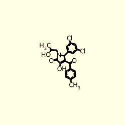 Cc1ccc(C(=O)C2=C(O)C(=O)N(CC(C)O)C2c2cc(Cl)cc(Cl)c2)cc1